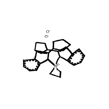 C1=C(C2CCCC2)[CH]([Hf+2]2([CH]3C(C4CCCC4)=Cc4ccccc43)[CH2]C[CH2]2)c2ccccc21.[Cl-].[Cl-]